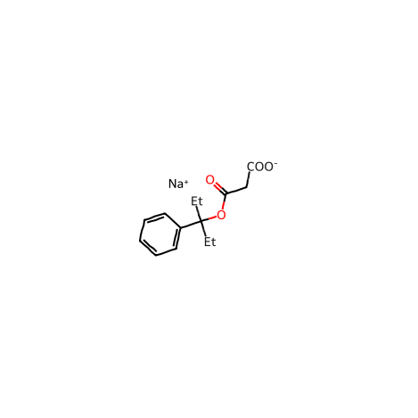 CCC(CC)(OC(=O)CC(=O)[O-])c1ccccc1.[Na+]